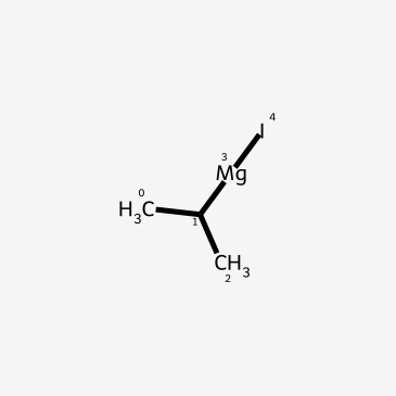 C[CH](C)[Mg][I]